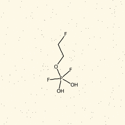 OP(O)(F)(F)OCCF